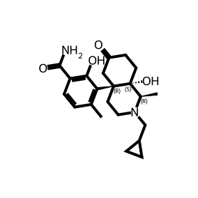 Cc1ccc(C(N)=O)c(O)c1[C@]12CCN(CC3CC3)[C@H](C)[C@]1(O)CCC(=O)C2